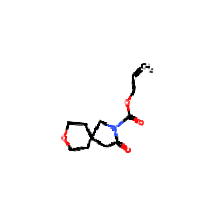 C=CCOC(=O)N1CC2(CCOCC2)CC1=O